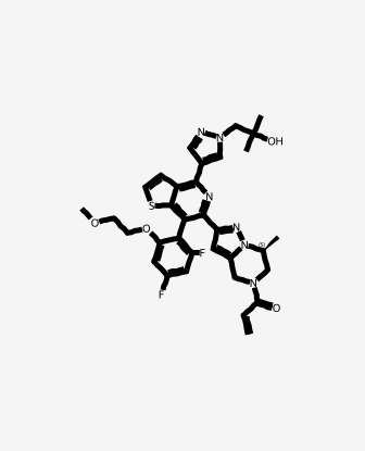 C=CC(=O)N1Cc2cc(-c3nc(-c4cnn(CC(C)(C)O)c4)c4ccsc4c3-c3c(F)cc(F)cc3OCCOC)nn2[C@@H](C)C1